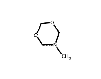 CN1COCOC1